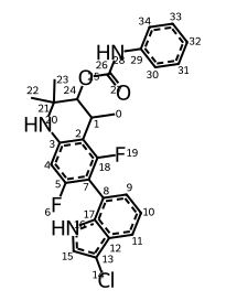 CC1c2c(cc(F)c(-c3cccc4c(Cl)c[nH]c34)c2F)NC(C)(C)C1OC(=O)Nc1ccccc1